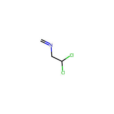 C=NCC(Cl)Cl